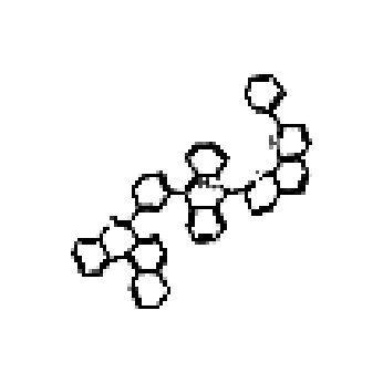 C=C(C1=NC2c3nc(C4=CC=CCC4)ccc3C=CC2C=C1)c1ccccc1/C(C1=CCCC(c2nc3ccccc3c3c4c(ccc23)CCC=C4)=C1)=C1/C=CC=CC1